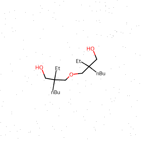 CCCCC(CC)(CO)COCC(CC)(CO)CCCC